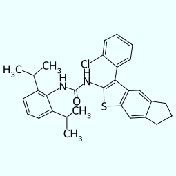 CC(C)c1cccc(C(C)C)c1NC(=O)Nc1sc2cc3c(cc2c1-c1ccccc1Cl)CCC3